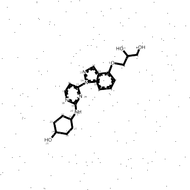 OCC(O)COc1cccc2c1cnn2-c1ccnc(NC2CCC(O)CC2)n1